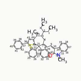 CCC(CC)C1C/C(=C\C=C2/C(=O)N(C)c3ccccc32)C(c2ccccc2)(c2ccccc2)c2sc(-c3ccccc3)cc2C1C